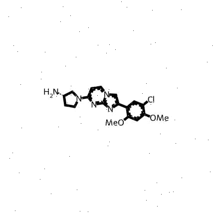 COc1cc(OC)c(-c2cn3ccc(N4CC[C@H](N)C4)nc3n2)cc1Cl